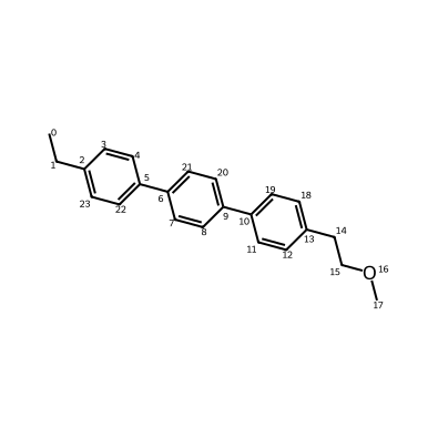 CCc1ccc(-c2ccc(-c3ccc(CCOC)cc3)cc2)cc1